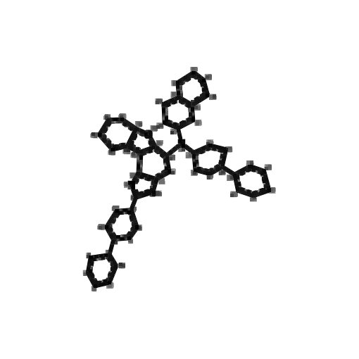 c1ccc(-c2ccc(-c3nc4c(cc(N(c5ccc(-c6ccccc6)cc5)c5ccc6ccccc6c5)c5oc6ccccc6c54)s3)cc2)cc1